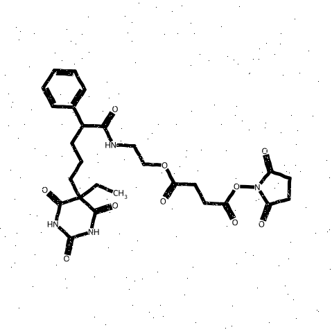 CCC1(CCCC(C(=O)NCCOC(=O)CCC(=O)ON2C(=O)CCC2=O)c2ccccc2)C(=O)NC(=O)NC1=O